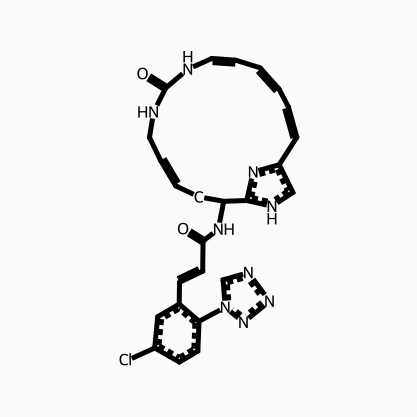 O=C(C=Cc1cc(Cl)ccc1-n1cnnn1)NC1CC=CCNC(=O)NC=CC=CC=Cc2c[nH]c1n2